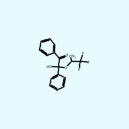 CC(OC(O)(C(=O)c1ccccc1)c1ccccc1)C(F)(F)F